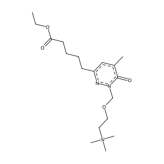 CCOC(=O)CCCCc1cc(C)c(=O)n(COCC[Si](C)(C)C)n1